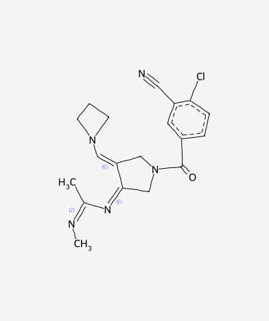 C\N=C(C)/N=C1/CN(C(=O)c2ccc(Cl)c(C#N)c2)C/C1=C\N1CCC1